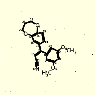 COc1cc(OC)cc(C(=CC#N)c2ccc3c(c2)OCCCO3)c1